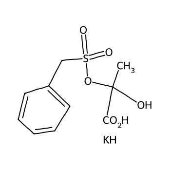 CC(O)(OS(=O)(=O)Cc1ccccc1)C(=O)O.[KH]